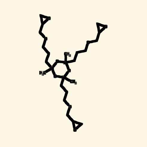 C[Si]1(CCCOCC2CO2)O[Si](C)(CCCOCC2CO2)O[Si](C)(CCCOCC2CO2)O1